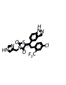 O=C1S/C(=C(/Cc2ccc(Cl)cc2C(F)(F)F)c2ccc3[nH]ncc3c2)C(=O)N1Cc1c[nH]cn1